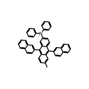 Cc1ccc2c(-c3ccc4ccccc4c3)c3cc(N(c4ccccc4)c4ccccc4)ccc3c(-c3ccc4ccccc4c3)c2c1